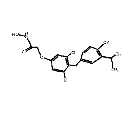 CC(C)c1cc(Cc2c(Cl)cc(OCC(=O)NO)cc2Cl)ccc1O